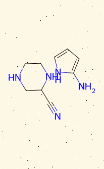 N#CC1CNCCN1.Nc1ccc[nH]1